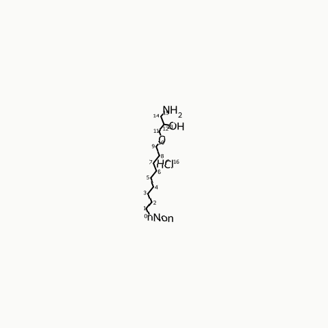 CCCCCCCCCCCCCCCCCCOCC(O)CN.Cl